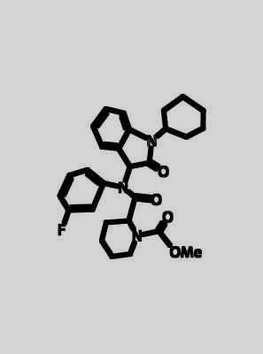 COC(=O)N1CCCCC1C(=O)N(c1cccc(F)c1)C1C(=O)N(C2CCCCC2)c2ccccc21